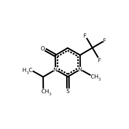 CC(C)n1c(=O)cc(C(F)(F)F)n(C)c1=S